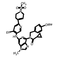 CCc1cc(C2=CCN(S(C)(=O)=O)CC2)ncc1Nc1cc2c(ncn2C)c(N(Cc2ccc(OC)cc2)C(=O)C2CC2)n1